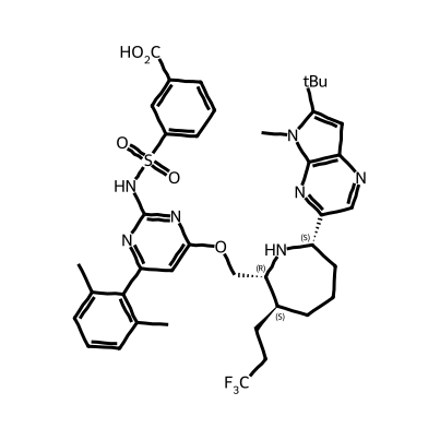 Cc1cccc(C)c1-c1cc(OC[C@@H]2N[C@H](c3cnc4cc(C(C)(C)C)n(C)c4n3)CCC[C@H]2CCC(F)(F)F)nc(NS(=O)(=O)c2cccc(C(=O)O)c2)n1